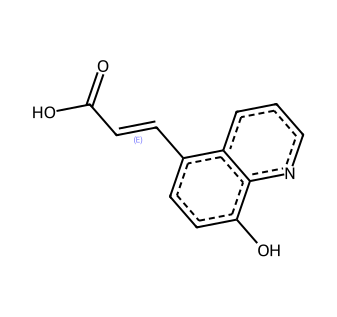 O=C(O)/C=C/c1ccc(O)c2ncccc12